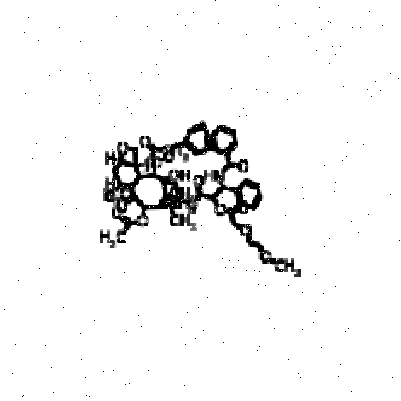 COCCOCC(=O)O[C@@H](C(=O)O[C@H]1C[C@@]2(O)[C@@H](OOCc3ccccc3)[C@@H]3[C@]4(OC(C)=O)CO[C@@H]4C[C@H](O)[C@@]3(C)C(=O)[C@H](OC(C)=O)C(=C1C)C2(C)C)[C@@H](NC(=O)c1ccccc1)c1ccccc1